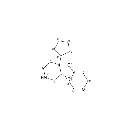 NC1CNCCC1(OC1CCOCC1)C1CCCC1